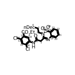 CCCCCCCCCCCCN1C(CC(=O)Nc2cc(C(=O)OCC)c(Cl)cc2Cl)=Nc2ccccc2S1(=O)=O